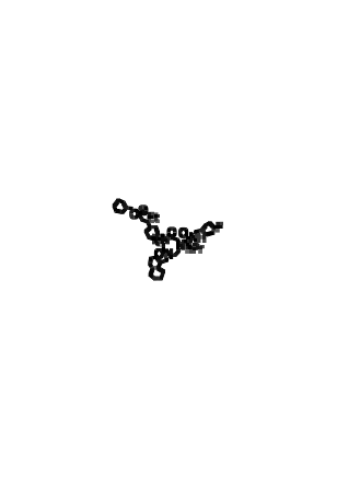 CCCN(C(=O)NCc1ccc(F)cc1)N1CCN(Cc2cccc3ccccc23)C(=O)[C@H](Cc2ccc(C(CC)CC(=O)OCc3ccccc3)cc2)NC(=O)C1